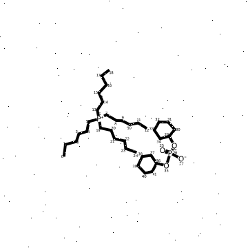 CCCCCC[P+](CCCCCC)(CCCCCC)CCCCCC.O=P([O-])(OC1CCCCC1)OC1CCCCC1